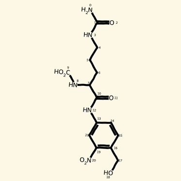 NC(=O)NCCCC(NC(=O)O)C(=O)Nc1ccc(CO)c([N+](=O)[O-])c1